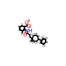 COC(=O)c1cccc(C)c1NC(=O)CCC12CCCC(c3ccccc3)CC1C2